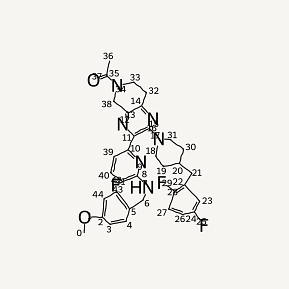 COc1ccc(CNc2nc(-c3nc4c(nc3N3CCC(Cc5cc(F)ccc5F)CC3)CCN(C(C)=O)C4)ccc2F)cc1